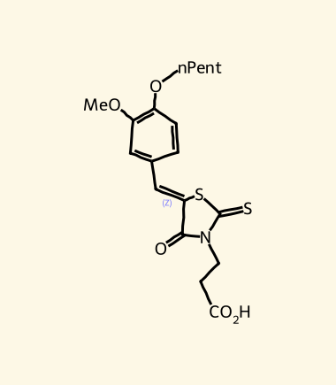 CCCCCOc1ccc(/C=C2\SC(=S)N(CCC(=O)O)C2=O)cc1OC